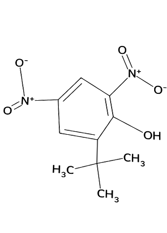 CC(C)(C)c1cc([N+](=O)[O-])cc([N+](=O)[O-])c1O